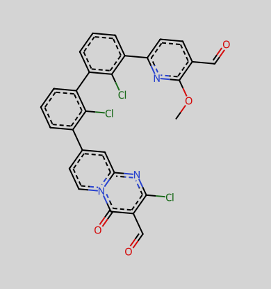 COc1nc(-c2cccc(-c3cccc(-c4ccn5c(=O)c(C=O)c(Cl)nc5c4)c3Cl)c2Cl)ccc1C=O